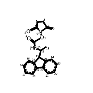 C=C1CCC(=O)N1OC(=O)NC(C)C1c2ccccc2-c2ccccc21